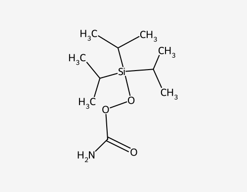 CC(C)[Si](OOC(N)=O)(C(C)C)C(C)C